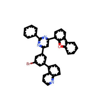 Brc1cc(-c2cc(-c3cccc4c3oc3ccccc34)nc(-c3ccccc3)n2)cc(-c2cccc3ncccc23)c1